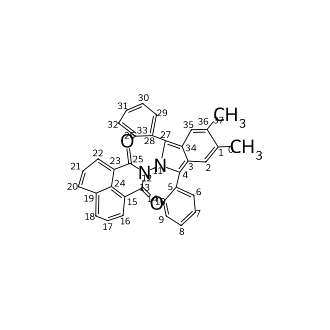 Cc1cc2c(-c3ccccc3)n(N3C(=O)c4cccc5cccc(c45)C3=O)c(-c3ccccc3)c2cc1C